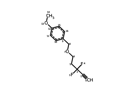 C#CC(F)(F)CCOCc1ccc(OC)cc1